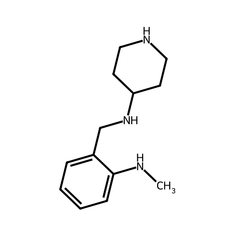 CNc1ccccc1CNC1CCNCC1